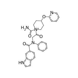 NC(=O)[N+]1(C(=O)CN(C(=O)c2ccc3cc[nH]c3c2)c2ccccc2)CCC(Oc2ccccn2)CC1